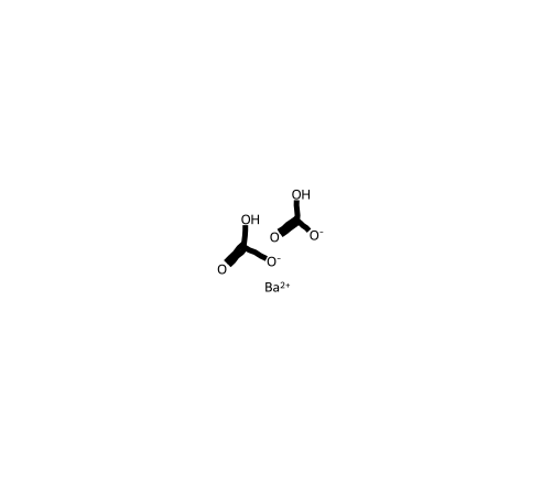 O=C([O-])O.O=C([O-])O.[Ba+2]